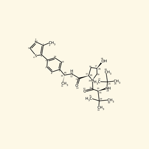 Cc1ncsc1-c1ccc([C@@H](C)NC(=O)[C@H]2C[C@@H](O)CN2C(=O)[C@@H](NC(C)(C)C)C(C)(C)C)cc1